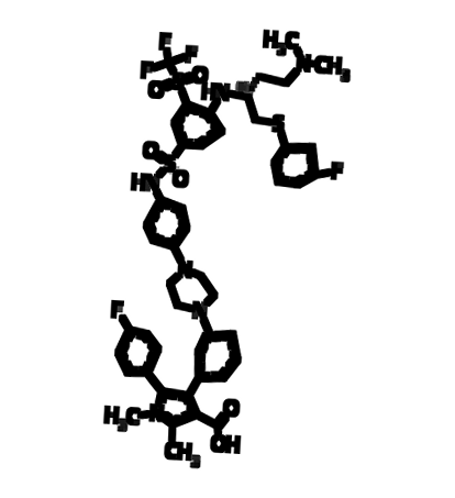 Cc1c(C(=O)O)c(-c2cccc(N3CCN(c4ccc(NS(=O)(=O)c5ccc(N[C@H](CCN(C)C)CSc6cccc(F)c6)c(S(=O)(=O)C(F)(F)F)c5)cc4)CC3)c2)c(-c2ccc(F)cc2)n1C